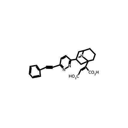 CN1C2CCCC1(C(=CC(=O)O)C(=O)O)CC(c1ccc(C#Cc3ccccc3)nn1)C2